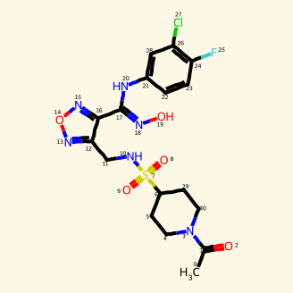 CC(=O)N1CCC(S(=O)(=O)NCc2nonc2C(=NO)Nc2ccc(F)c(Cl)c2)CC1